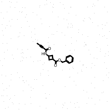 CC#CC(=O)NC1CC(C(=O)OCc2ccccc2)C1